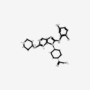 NC(=O)[C@H]1CC[C@H](n2c(Nc3cc(Cl)ccc3F)nc3cnc(NC4CCOCC4)nc32)CC1